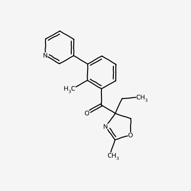 CCC1(C(=O)c2cccc(-c3cccnc3)c2C)COC(C)=N1